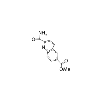 COC(=O)c1ccc2nc(C(N)=O)ccc2c1